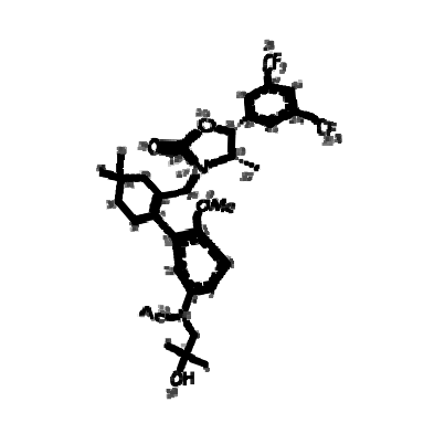 COc1ccc(N(CC(C)(C)O)C(C)=O)cc1C1=C(CN2C(=O)O[C@H](c3cc(C(F)(F)F)cc(C(F)(F)F)c3)[C@@H]2C)CC(C)(C)CC1